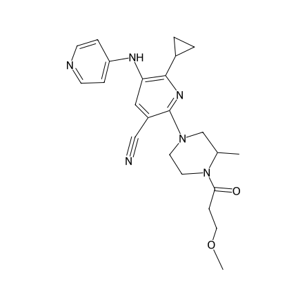 COCCC(=O)N1CCN(c2nc(C3CC3)c(Nc3ccncc3)cc2C#N)CC1C